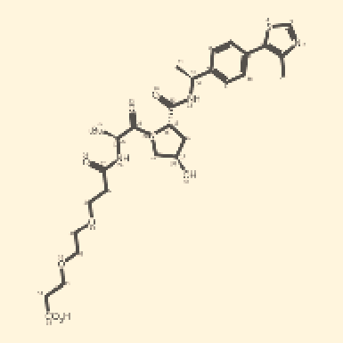 Cc1ncsc1-c1ccc([C@H](C)NC(=O)[C@@H]2C[C@@H](O)CN2C(=O)[C@@H](NC(=O)CCOCCOCCC(=O)O)C(C)(C)C)cc1